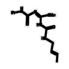 CC=CCNC(=O)NC(=NC(=O)NC(C)C)SC